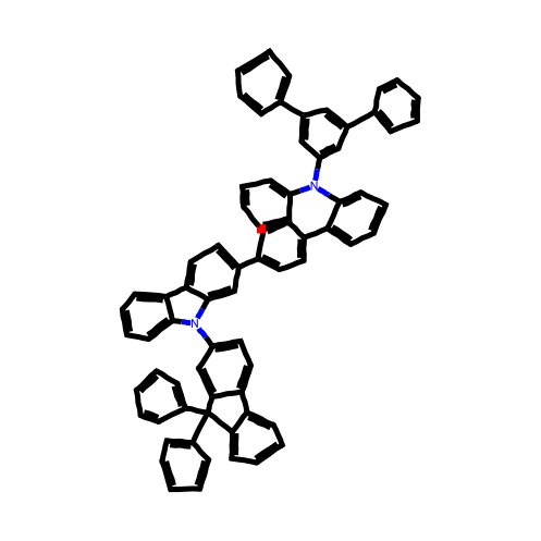 c1ccc(-c2cc(-c3ccccc3)cc(N(c3ccccc3)c3ccccc3-c3ccc(-c4ccc5c6ccccc6n(-c6ccc7c(c6)C(c6ccccc6)(c6ccccc6)c6ccccc6-7)c5c4)cc3)c2)cc1